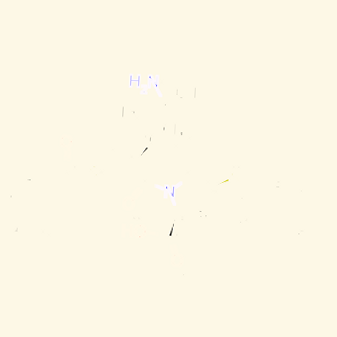 CC(C)(C)N.C[C@H](CSC(=O)c1ccccc1)C(=O)N1C[C@@H](Sc2ccccc2)C[C@H]1C(=O)O